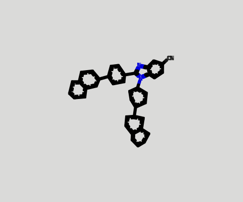 N#Cc1ccc2c(c1)nc(-c1ccc(-c3ccc4ccccc4c3)cc1)n2-c1ccc(-c2ccc3ccccc3c2)cc1